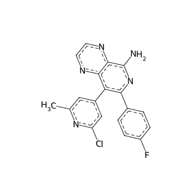 Cc1cc(-c2c(-c3ccc(F)cc3)nc(N)c3nccnc23)cc(Cl)n1